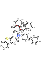 C1=C2Sc3ccccc3C2CC=C1N(c1ccccc1)c1ccc(-c2ccccc2)cc1-c1cc2ccccc2c2ccccc12